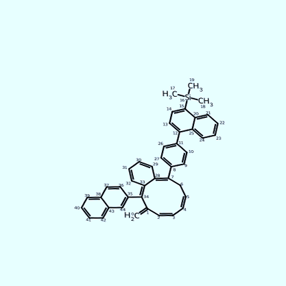 C=C1/C=C\C=C/C/C(c2ccc(-c3ccc([Si](C)(C)C)c4ccccc34)cc2)=c2/cccc/c2=C/1c1ccc2ccccc2c1